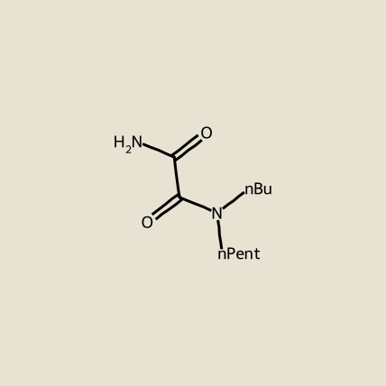 CCCCCN(CCCC)C(=O)C(N)=O